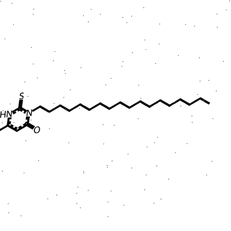 CCCCCCCCCCCCCCCCCCn1c(=O)cc(C)[nH]c1=S